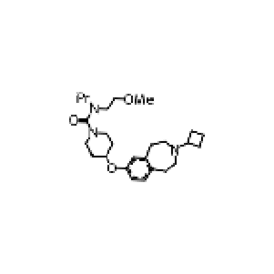 COCCN(C(=O)N1CCC(Oc2ccc3c(c2)CCN(C2CCC2)CC3)CC1)C(C)C